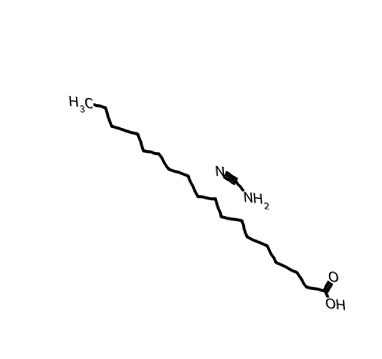 CCCCCCCCCCCCCCCCCC(=O)O.N#CN